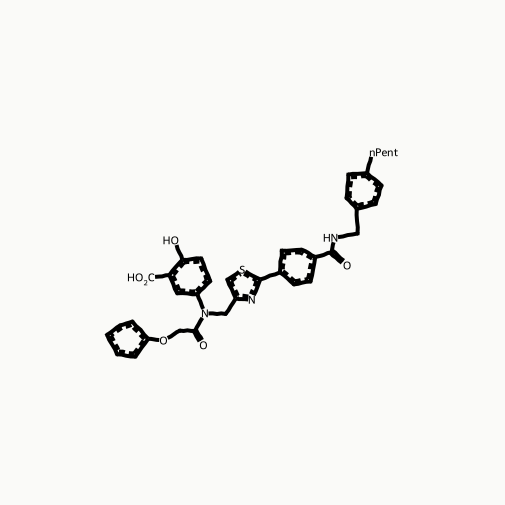 CCCCCc1ccc(CNC(=O)c2ccc(-c3nc(CN(C(=O)COc4ccccc4)c4ccc(O)c(C(=O)O)c4)cs3)cc2)cc1